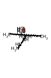 CCCCCCCCCCCCCCN(CCCCCCCCCCCCCC)C(O)(O)CCNCCCCNCCCN.Cl.O.O.O.O